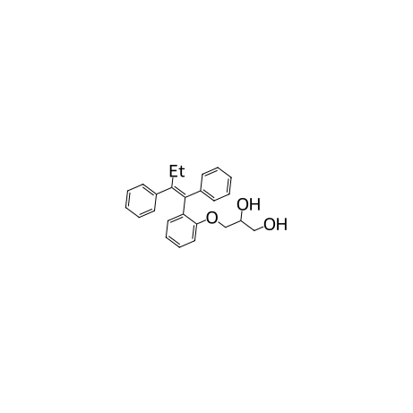 CC/C(=C(\c1ccccc1)c1ccccc1OCC(O)CO)c1ccccc1